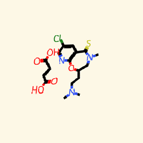 CN(C)CCC1CN(C)C(=S)c2cc(Cl)cnc2O1.O=C(O)/C=C/C(=O)O